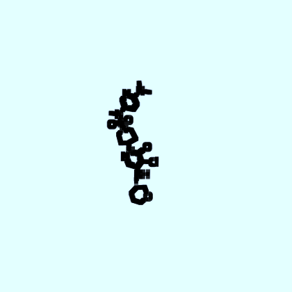 CN(C)c1ccc(N(C)S(=O)(=O)N2CCC(n3ncc(NC[C@H]4CCCOC4)c(Cl)c3=O)CC2)cn1